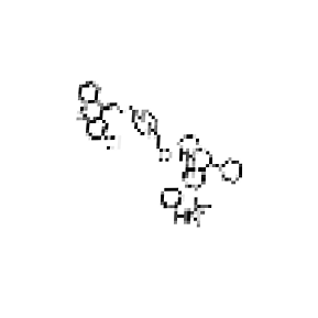 C1CCC(C(CC2CCCCN2)C2CCCCC2)CC1.CN[C@@H](C)Cc1ccccc1.OCCN1CCN(CCC=C2c3ccccc3Sc3ccc(Cl)cc32)CC1